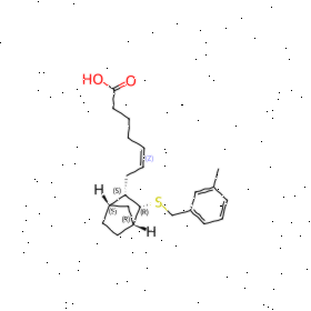 Cc1cccc(CS[C@@H]2[C@@H]3CC[C@@H](C3)[C@@H]2C/C=C\CCCC(=O)O)c1